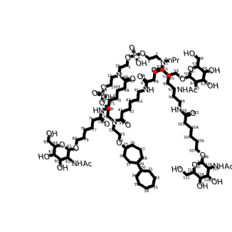 CCCN(CCOP(=O)(O)OCCN(CCOP(=O)(O)OCCN(CCOC1CCCC(C2CCCCCC2)CC1)C(=O)CCCCCNC(=O)CCCCCOC1OC(CO)C(O)C(O)C1NC(C)=O)C(=O)CCCCCNC(=O)CCCCCOC1OC(CO)C(O)C(O)C1NC(C)=O)C(=O)CCCCCNC(=O)CCCCCOC1OC(CO)C(O)C(O)C1NC(C)=O